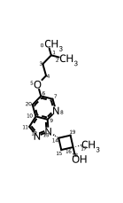 CC(C)CCOc1cnc2c(cnn2[C@H]2C[C@](C)(O)C2)c1